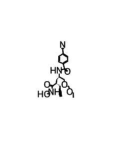 C#CC[C@@H](C[C@@H](COCOCC)NC(=O)c1ccc(C#N)cc1)C(=O)NO